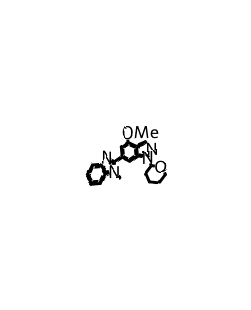 COc1cc(-c2nc3ccccc3n2C)cc2c1cnn2C1CCCCO1